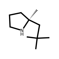 CC(C)(C)C[C@]1(C)CCCN1